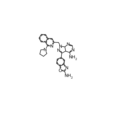 NC1=NC=NC2C1C(c1ccc3oc(N)nc3c1)=NN2Cc1cc2ccccc2c(N2CCCC2)n1